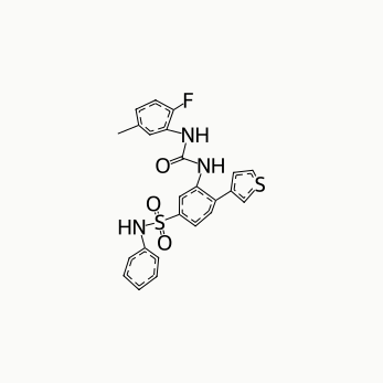 Cc1ccc(F)c(NC(=O)Nc2cc(S(=O)(=O)Nc3ccccc3)ccc2-c2ccsc2)c1